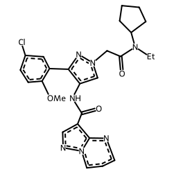 CCN(C(=O)Cn1cc(NC(=O)c2cnn3cccnc23)c(-c2cc(Cl)ccc2OC)n1)C1CCCC1